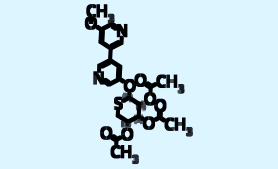 COc1cncc(-c2cncc(O[C@@H]3SC[C@@H](OC(C)=O)[C@H](OC(C)=O)[C@H]3OC(C)=O)c2)c1